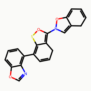 [c]1nc2c(C3=C4SOC(N5C=C6CC=CC=C6O5)=C4CC=C3)cccc2o1